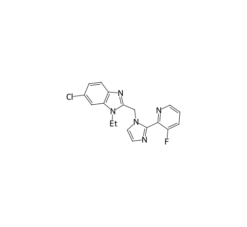 CCn1c(Cn2ccnc2-c2ncccc2F)nc2ccc(Cl)cc21